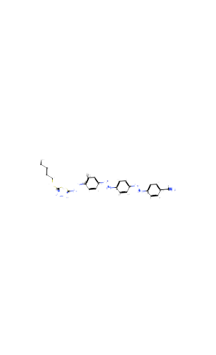 CCCCCSc1nnc(N=Nc2ccc(N=Nc3ccc(N=Nc4ccc(C#N)cc4)cc3)cc2C)s1